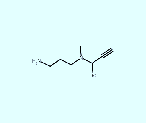 C#CC(CC)N(C)CCCN